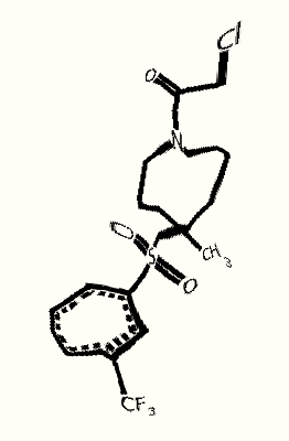 CC1(S(=O)(=O)c2cccc(C(F)(F)F)c2)CCN(C(=O)CCl)CC1